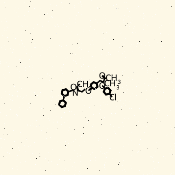 CC(=O)C(C)(Cc1ccc(OCCc2nc(-c3cccc(-c4ccccc4)c3)oc2C)cc1)Oc1ccc(Cl)cc1